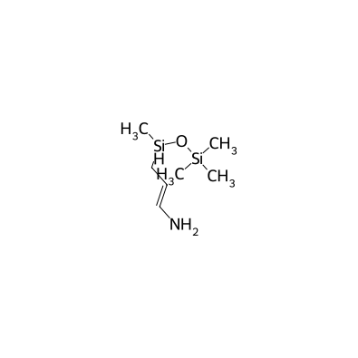 C[SiH](CC=CN)O[Si](C)(C)C